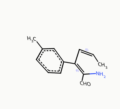 C/C=C\C(=C(/N)C=O)c1cccc(C)c1